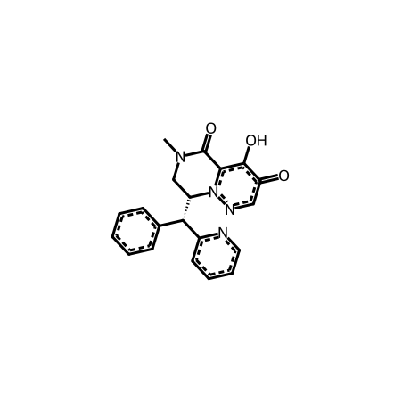 CN1CC([C@@H](c2ccccc2)c2ccccn2)n2ncc(=O)c(O)c2C1=O